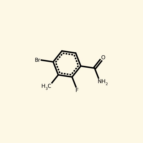 Cc1c(Br)ccc(C(N)=O)c1F